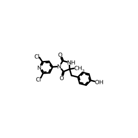 CC1(Cc2ccc(O)cc2)NC(=O)N(c2cc(Cl)nc(Cl)c2)C1=O